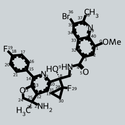 COc1cc(C(=O)NC[C@](O)(c2cc3c(c(-c4ccc(F)cc4)n2)OC[C@]3(C)N)C2(F)CC2)cc2cc(Br)c(C)nc12